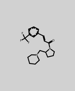 O=C(C=Cc1cccc(C(F)(F)F)c1)N1CCCC1CN1CCCCC1